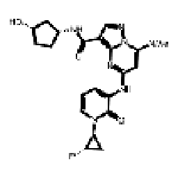 CNc1cc(Nc2cccn([C@H]3C[C@@H]3F)c2=O)nc2c(C(=O)N[C@@H]3CC[C@H](O)C3)cnn12